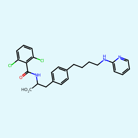 O=C(NC(Cc1ccc(CCCCNc2ccccn2)cc1)C(=O)O)c1c(Cl)cccc1Cl